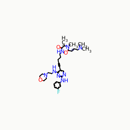 C[C@@H](C(=O)NCCCC#Cc1cnc(Nc2cccc(F)c2)nc1NCCN1CCOCC1)N(C)C(=O)/C=C/CN(C)C